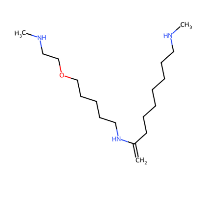 C=C(CCCCCCCNC)NCCCCCOCCNC